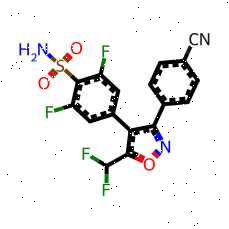 N#Cc1ccc(-c2noc(C(F)F)c2-c2cc(F)c(S(N)(=O)=O)c(F)c2)cc1